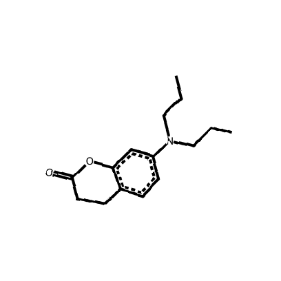 CCCN(CCC)c1ccc2c(c1)OC(=O)CC2